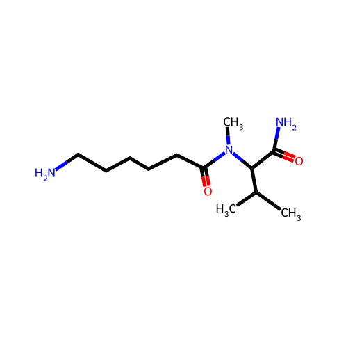 CC(C)C(C(N)=O)N(C)C(=O)CCCCCN